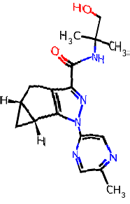 Cc1cnc(-n2nc(C(=O)NC(C)(C)CO)c3c2[C@@H]2C[C@@H]2C3)cn1